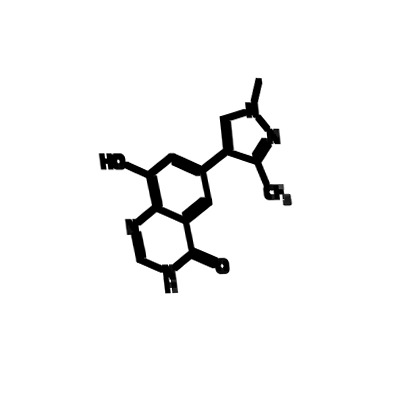 Cn1cc(-c2cc(O)c3nc[nH]c(=O)c3c2)c(C(F)(F)F)n1